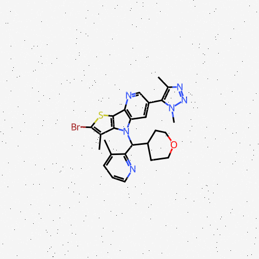 Cc1cccnc1C(C1CCOCC1)n1c2cc(-c3c(C)nnn3C)cnc2c2sc(Br)c(C)c21